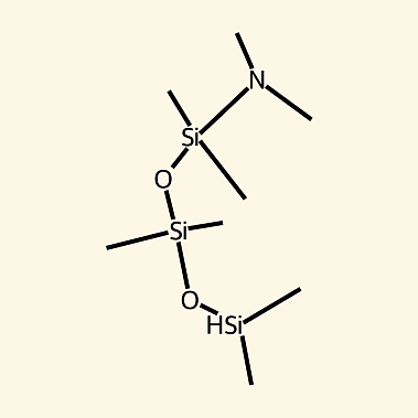 CN(C)[Si](C)(C)O[Si](C)(C)O[SiH](C)C